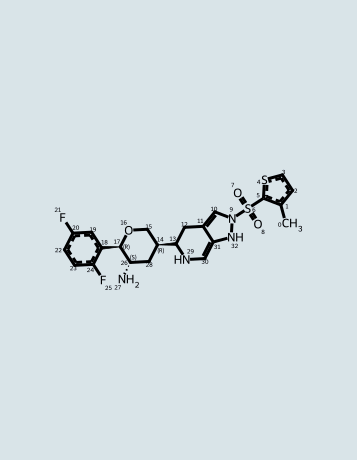 Cc1ccsc1S(=O)(=O)N1C=C2CC([C@@H]3CO[C@H](c4cc(F)ccc4F)[C@@H](N)C3)NC=C2N1